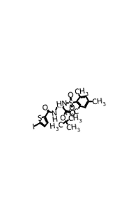 Cc1cc(C)c(S(=O)(=O)N[C@@H](CNC(=O)c2ccc(I)s2)C(=O)OC(C)(C)C)c(C)c1